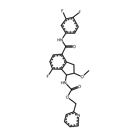 COC1Cc2c(C(=O)Nc3ccc(F)c(F)c3)ccc(F)c2C1NC(=O)OCc1ccccn1